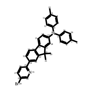 Cc1ccc(N(c2ccc(C)cc2)c2ccc3c(c2)C(C)(C)c2cc(-c4ccc(Br)cn4)ccc2-3)cc1